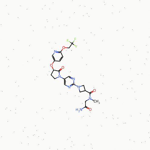 CN(CC(N)=O)C(=O)C1CN(c2ncc(N3CC[C@@H](Oc4ccc(OCC(F)(F)F)nc4)C3=O)cn2)C1